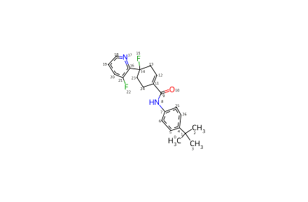 CC(C)(C)c1ccc(NC(=O)C2=CCC(F)(c3ncccc3F)CC2)cc1